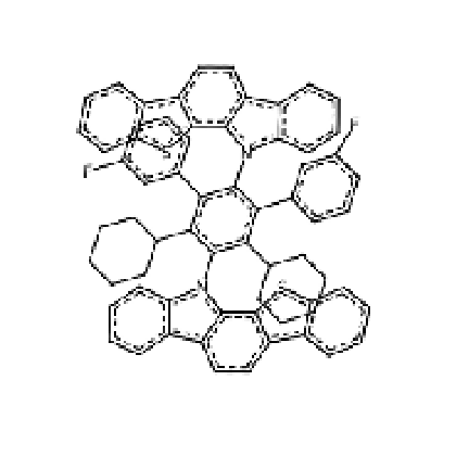 Fc1cccc(-c2c(C3CCCCC3)c(-n3c4ccccc4c4ccc5c6ccccc6sc5c43)c(C3CCCCC3)c(-c3cccc(F)c3)c2-n2c3ccccc3c3ccc4c5ccccc5sc4c32)c1